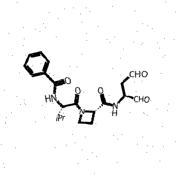 CC(C)[C@H](NC(=O)c1ccccc1)C(=O)N1CC[C@H]1C(=O)N[C@H](C=O)CC=O